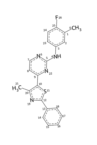 Cc1cc(Nc2nccc(-c3sc(-c4ccccc4)nc3C)n2)ccc1F